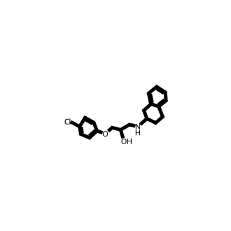 OC(CNC1CCc2ccccc2C1)COc1ccc(Cl)cc1